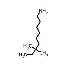 CC(C)(CN)CCCCCCN